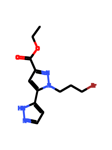 CCOC(=O)c1cc(-c2ccn[nH]2)n(CCCBr)n1